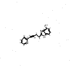 Fc1cccc2sc(CCC#Cc3ccccn3)nc12